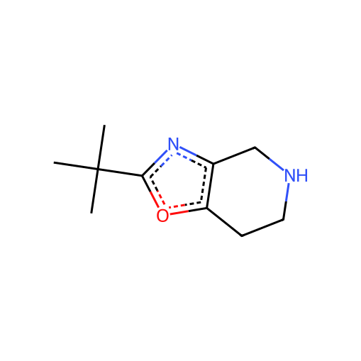 CC(C)(C)c1nc2c(o1)CCNC2